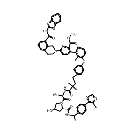 Cc1ncsc1-c1ccc(C(C)NC(=O)[C@@H]2C[C@@H](O)CN2C(=O)C(NC(=O)C(C)(C)CCc2ccc(Oc3cccc(-c4ccc(N5CCc6cccc(C(=O)Nc7nc8ccccc8s7)c6C5)nc4C(=O)OC(C)(C)C)c3C)cc2)C(C)(C)C)cc1